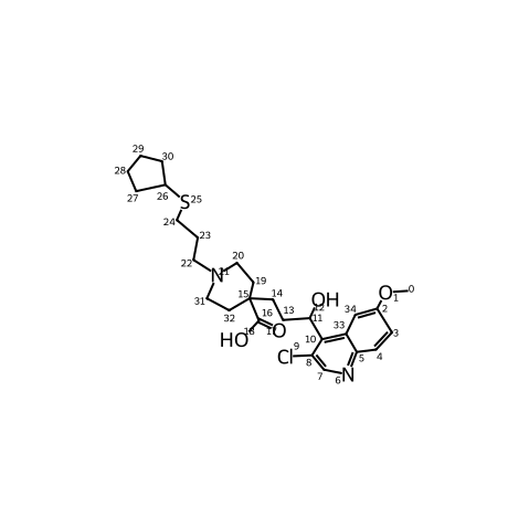 COc1ccc2ncc(Cl)c(C(O)CCC3(C(=O)O)CCN(CCCSC4CCCC4)CC3)c2c1